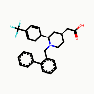 O=C(O)C[C@H]1CCN(Cc2ccccc2-c2ccccc2)[C@@H](C2C=CC(C(F)(F)F)=CC2)C1